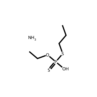 CCCSP(O)(=S)OCC.N